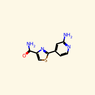 NC(=O)c1csc(-c2ccnc(N)c2)n1